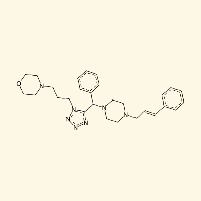 C(=Cc1ccccc1)CN1CCN(C(c2ccccc2)c2nnnn2CCCN2CCOCC2)CC1